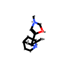 CN1C=C([C@H]2CC3CCN2CC3)OC1